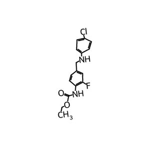 CCOC(=O)Nc1ccc(CNc2ccc(Cl)cc2)cc1F